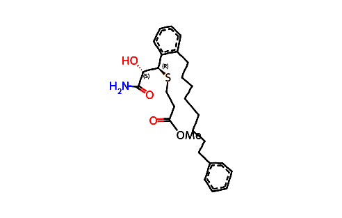 COC(=O)CCS[C@H](c1ccccc1CCCCCCCCc1ccccc1)[C@@H](O)C(N)=O